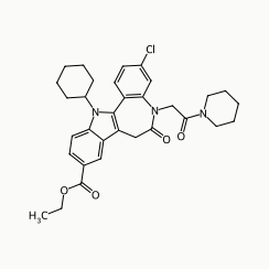 CCOC(=O)c1ccc2c(c1)c1c(n2C2CCCCC2)-c2ccc(Cl)cc2N(CC(=O)N2CCCCC2)C(=O)C1